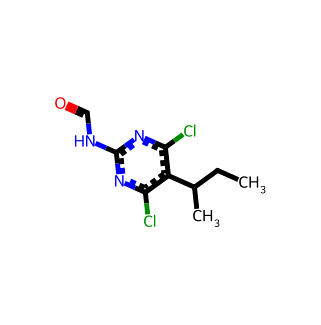 CCC(C)c1c(Cl)nc(NC=O)nc1Cl